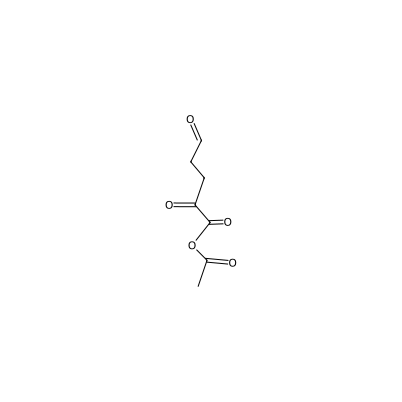 CC(=O)OC(=O)C(=O)CCC=O